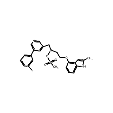 Cc1cc2c(OCCN(Cc3cncc(-c4cccc(F)c4)c3)OS(C)(=O)=O)cccc2[nH]1